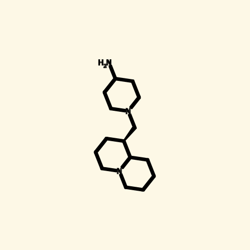 NC1CCN(C[C@@H]2CCCN3CCCCC23)CC1